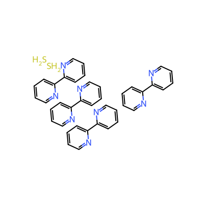 S.S.c1ccc(-c2ccccn2)nc1.c1ccc(-c2ccccn2)nc1.c1ccc(-c2ccccn2)nc1.c1ccc(-c2ccccn2)nc1